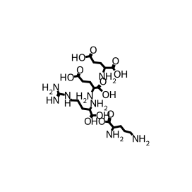 N=C(N)NCCCC(N)C(=O)O.NC(CCC(=O)O)C(=O)O.NC(CCC(=O)O)C(=O)O.NCCCC(N)C(=O)O